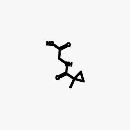 CC1(C(=O)NCC(=O)O)CC1